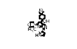 C[C@@H]1COCCN1c1cc(C2(O)CCC3(CC2)COC3)c2cnn(-c3cc[nH]n3)c2n1